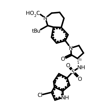 CC(C)(C)C1c2ccc(N3CC[C@H](NS(=O)(=O)c4ccc5c(Cl)c[nH]c5c4)C3=O)cc2CCCN1C(=O)O